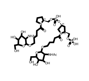 CC(=O)NC1C(OCCCCC(=O)N2CCC[C@H]2COP(=O)(O)O[C@@H]2C[C@@H](COP(=O)(O)O)N(C(=O)CCCCOC3OC(CO)C(O)C(O)C3NC(C)=O)C2)OC(CO)C(O)C1O